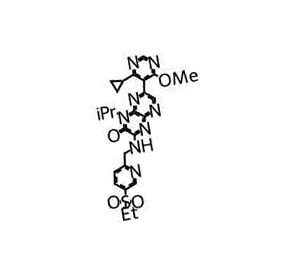 CCS(=O)(=O)c1ccc(CNc2nc3ncc(-c4c(OC)ncnc4C4CC4)nc3n(C(C)C)c2=O)nc1